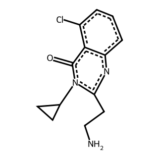 NCCc1nc2cccc(Cl)c2c(=O)n1C1CC1